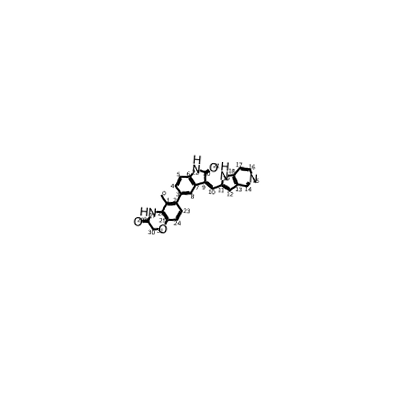 Cc1c(-c2ccc3c(c2)C(=Cc2cc4cnccc4[nH]2)C(=O)N3)ccc2c1NC(=O)CO2